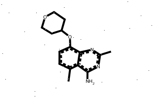 Cc1nc(N)c2c(C)ccc(OC3CCOCC3)c2n1